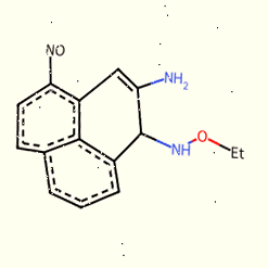 CCONC1C(N)=Cc2c(N=O)ccc3cccc1c23